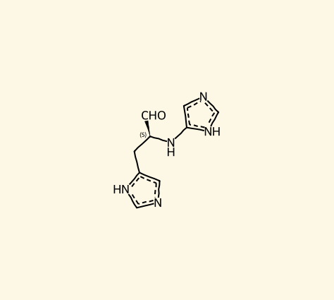 O=C[C@H](Cc1cnc[nH]1)Nc1cnc[nH]1